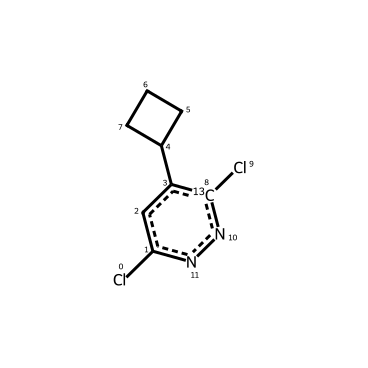 Clc1cc(C2CCC2)[13c](Cl)nn1